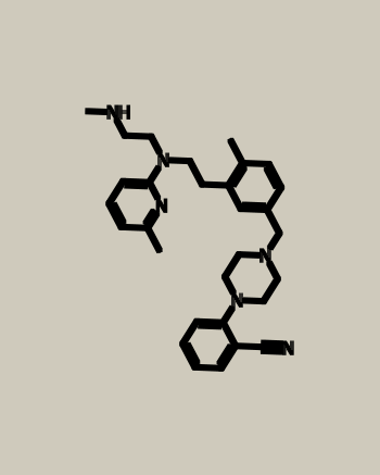 CNCCN(CCc1cc(CN2CCN(c3ccccc3C#N)CC2)ccc1C)c1cccc(C)n1